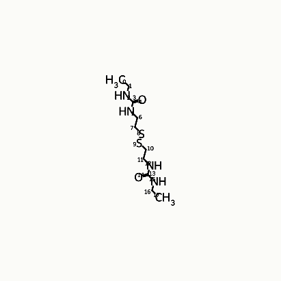 CCNC(=O)NCCSSCCNC(=O)NCC